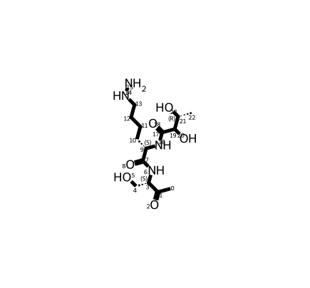 CC(=O)[C@H](CO)NC(=O)[C@H](CCCCNN)NC(=O)C(O)[C@@H](C)O